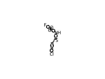 O=S(=O)(c1ccc(F)cc1)c1ccc(NC2CCN(C(=S)CCCN3CCN(c4ccc(Cl)cc4)CC3)CC2)cc1